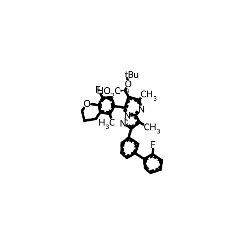 Cc1nc2c(C)c(-c3cccc(-c4ccccc4F)c3)nn2c(-c2cc(F)c3c(c2C)CCCO3)c1[C@H](OC(C)(C)C)C(=O)O